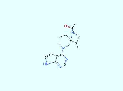 CC(=O)N1CC(C)C12CCCN(c1ncnc3[nH]ccc13)C2